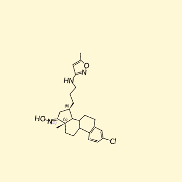 Cc1cc(NCCC[C@@H]2C/C(=N\O)[C@@]3(C)CCC4c5ccc(Cl)cc5CCC4C23)no1